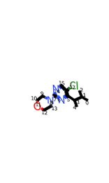 CC(C)C(C)c1nc(N2CCOCC2)ncc1Cl